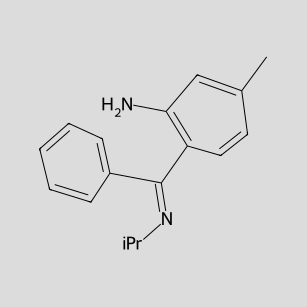 Cc1ccc(C(=NC(C)C)c2ccccc2)c(N)c1